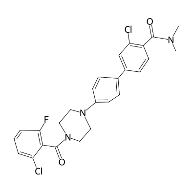 CN(C)C(=O)c1ccc(-c2ccc(N3CCN(C(=O)c4c(F)cccc4Cl)CC3)cc2)cc1Cl